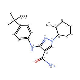 CC(C)(C(=O)O)c1ccc(Nc2nn(C3CCCCC3C#N)cc2C(N)=O)cc1